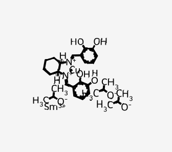 CC(C)[O-].CC(C)[O-].CC(C)[O-].Oc1cccc(C=[N+]2[Cu][N+](=Cc3cccc(O)c3O)[C@@H]3CCCC[C@H]32)c1O.[Sm+3]